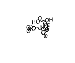 COc1ccc2c(c1)C(OC)(C(F)(F)F)CN=C2C=Cc1ccc([N+](=O)[O-])cc1.O=C(O)C=CC(=O)O